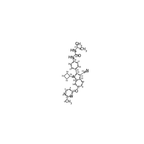 Cc1nccc(Oc2ccc3c(C#N)c(-c4ccc(NC(=O)NC(C)C)cc4)n(C4CCC4)c3c2)n1